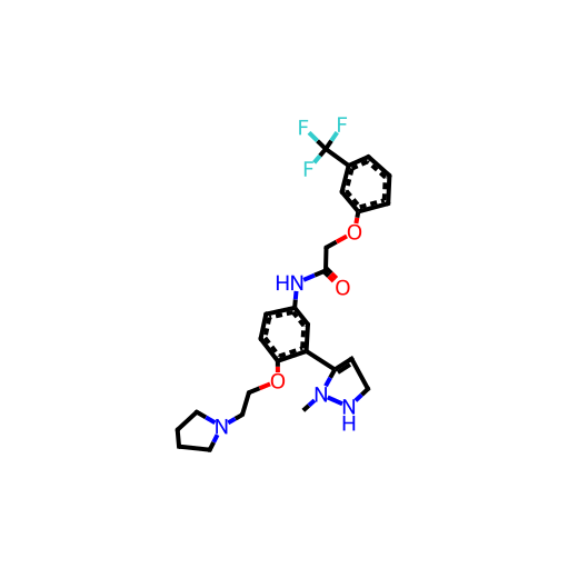 CN1NCC=C1c1cc(NC(=O)COc2cccc(C(F)(F)F)c2)ccc1OCCN1CCCC1